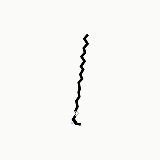 C/C=C\OCCCCCCCCCCCCCCCCCC